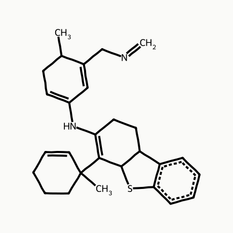 C=NCC1=CC(NC2=C(C3(C)C=CCCC3)C3Sc4ccccc4C3CC2)=CCC1C